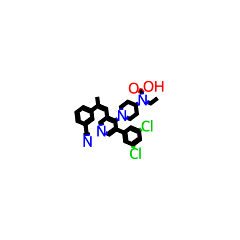 CCN(C(=O)O)C1CCN(c2c(C=C(C)c3cccc(C#N)c3)cncc2-c2cc(Cl)cc(Cl)c2)CC1